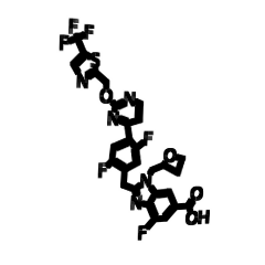 O=C(O)c1cc(F)c2nc(Cc3cc(F)c(-c4ccnc(OCc5ncc(C(F)(F)F)s5)n4)cc3F)n(CC3CCO3)c2c1